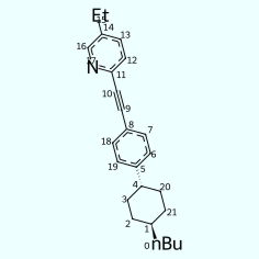 CCCC[C@H]1CC[C@H](c2ccc(C#Cc3ccc(CC)cn3)cc2)CC1